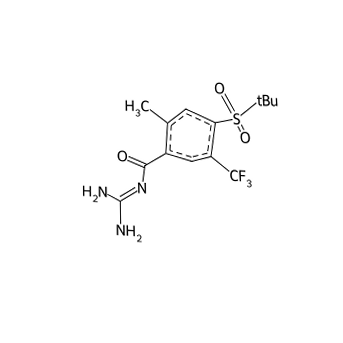 Cc1cc(S(=O)(=O)C(C)(C)C)c(C(F)(F)F)cc1C(=O)N=C(N)N